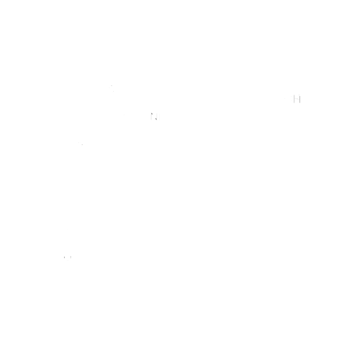 COc1ccc2sc(C(=S)NCc3ccc(O)cc3)cc2c1